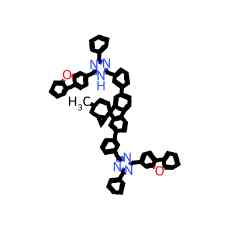 CC1C=CC2(c3cc(-c4cccc(-c5nc(-c6ccccc6)nc(-c6ccc7c(c6)oc6ccccc67)n5)c4)ccc3-c3ccc(-c4cccc(C5N=C(c6ccccc6)N=C(c6ccc7c(c6)oc6ccccc67)N5)c4)cc32)C2CC2C1